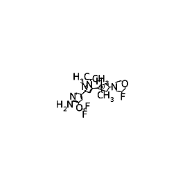 CC(C)n1nc(-c2cnc(N)c(OC(F)F)c2)cc1C1[C@@H]2CC(N3CCOCC(F)C3)CC12C